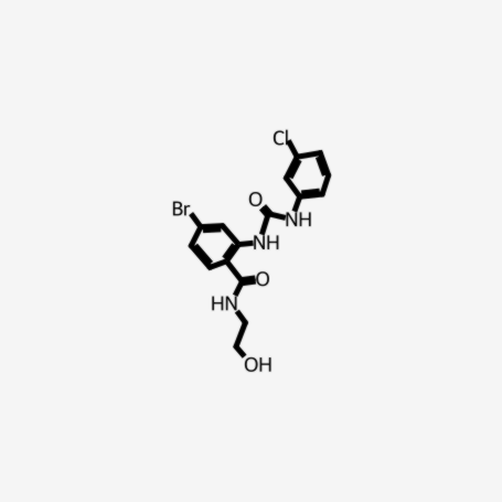 O=C(Nc1cccc(Cl)c1)Nc1cc(Br)ccc1C(=O)NCCO